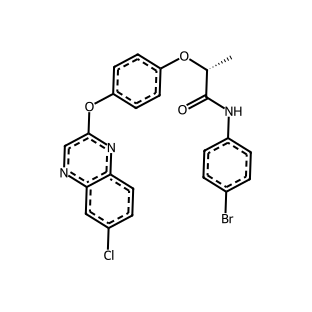 C[C@@H](Oc1ccc(Oc2cnc3cc(Cl)ccc3n2)cc1)C(=O)Nc1ccc(Br)cc1